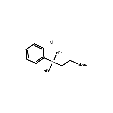 CCCCCCCCCCCC[N+](CCC)(CCC)c1ccccc1.[Cl-]